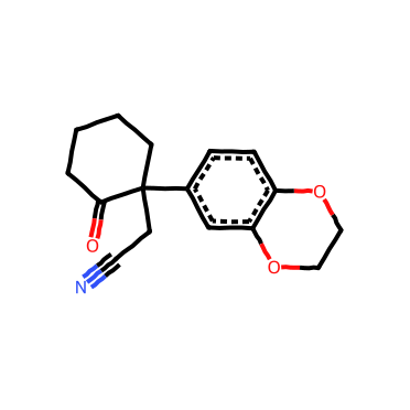 N#CCC1(c2ccc3c(c2)OCCO3)CCCCC1=O